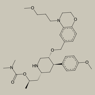 COCCCN1CCOc2ccc(CO[C@H]3CN[C@@H](C[C@@H](C)OC(=O)N(C)C)C[C@@H]3c3ccc(OC)cc3)cc21